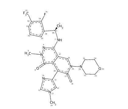 C[C@@H](Nc1nn(C)c(=O)c2c(-c3cn(C)cn3)c(=O)n(N3CCOCC3)cc12)c1cccc(C(F)(F)F)c1F